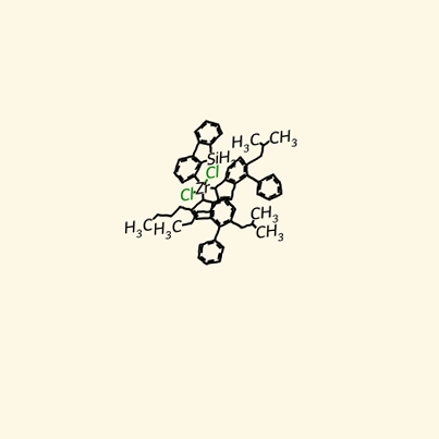 CCCCC1=Cc2c(ccc(CC(C)C)c2-c2ccccc2)[CH]1[Zr]([Cl])([Cl])([c]1cccc2c1[SiH2]c1ccccc1-2)[CH]1C(CCCC)=Cc2c1ccc(CC(C)C)c2-c1ccccc1